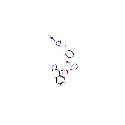 N#CC1CN(S(=O)(=O)N2CCC[C@H](C(=O)N3CCC[C@@H]3C(=O)NC(c3cc(F)c(Cl)cc3F)C3CNC3)C2)C1